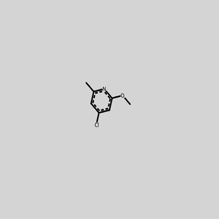 COc1cc(Cl)cc(C)n1